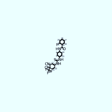 O=C(Nc1ccc(NC(=S)NC2=CC(Cl)C(Cl)(C(F)(F)F)C=C2)cc1)c1ccccc1F